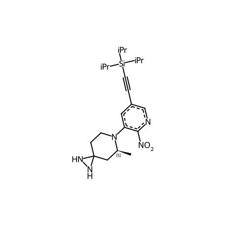 CC(C)[Si](C#Cc1cnc([N+](=O)[O-])c(N2CCC3(C[C@@H]2C)NN3)c1)(C(C)C)C(C)C